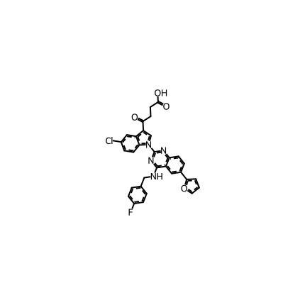 O=C(O)CCC(=O)c1cn(-c2nc(NCc3ccc(F)cc3)c3cc(-c4ccco4)ccc3n2)c2ccc(Cl)cc12